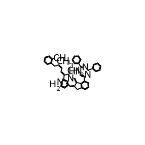 C=C/C=C1/Cc2cccc(C3=CNC(c4ccccc4)=NC(c4ccccc4)=N3)c2/C1=C/N1c2cccnc2/C(=C/C=C(/C)Cc2ccccc2C)C1C